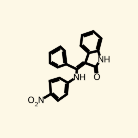 O=C1Nc2ccccc2/C1=C(/Nc1ccc([N+](=O)[O-])cc1)c1ccccc1